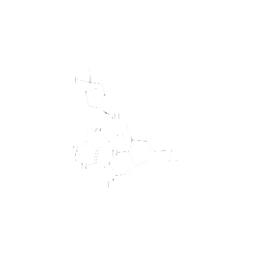 C[C@@](C(=O)N[C@H]1CC2CC1CC2(F)F)(c1cncnc1)N(C(=O)[C@H](F)Cl)c1ccc(OC(F)(F)F)cc1F